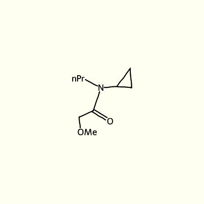 CCCN(C(=O)COC)C1CC1